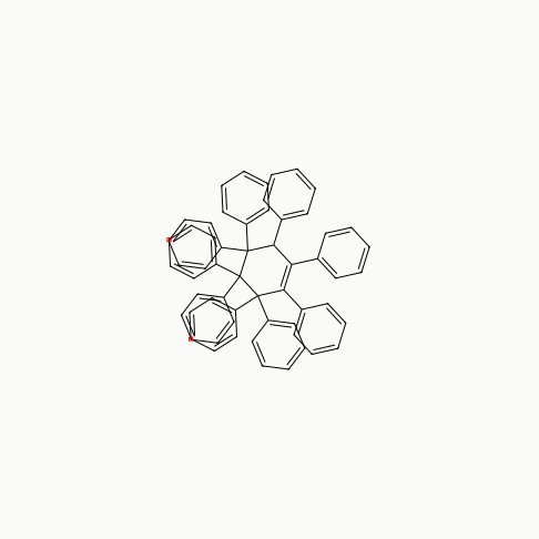 c1ccc(C2=C(c3ccccc3)C(c3ccccc3)(c3ccccc3)C(c3ccccc3)(c3ccccc3)C(c3ccccc3)(c3ccccc3)C2c2ccccc2)cc1